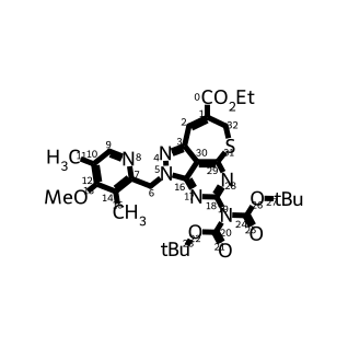 CCOC(=O)C1=Cc2nn(Cc3ncc(C)c(OC)c3C)c3nc(N(C(=O)OC(C)(C)C)C(=O)OC(C)(C)C)nc(c23)SC1